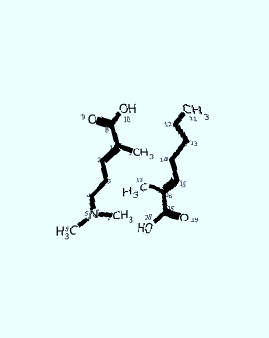 C/C(=C\CCN(C)C)C(=O)O.CCCC/C=C(\C)C(=O)O